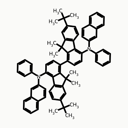 CC(C)(C)c1ccc2c(c1)C(C)(C)c1c(-c3ccc(N(c4ccccc4)c4ccc5ccccc5c4)c4c3C(C)(C)c3cc(C(C)(C)C)ccc3-4)ccc(N(c3ccccc3)c3ccc4ccccc4c3)c1-2